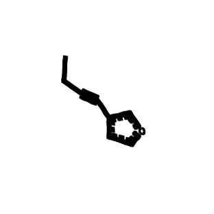 CCC#Cc1ccoc1